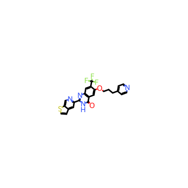 O=c1[nH]c(-c2cc3ccsc3cn2)nc2cc(C(F)(F)F)c(OCCCc3ccncc3)cc12